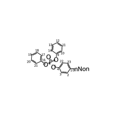 CCCCCCCCCc1ccc(OP(=O)(Oc2ccccc2)Oc2ccccc2)cc1